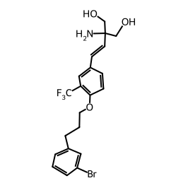 NC(C=Cc1ccc(OCCCc2cccc(Br)c2)c(C(F)(F)F)c1)(CO)CO